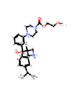 COCCOC(=O)N1CCN(c2cccc([C@@](O)(c3ccc(C(C)C)cc3)C3(C)CNC3)c2)CC1